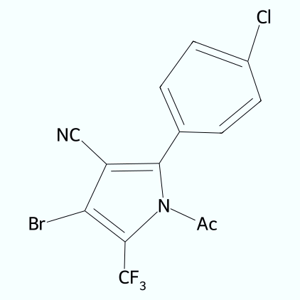 CC(=O)n1c(-c2ccc(Cl)cc2)c(C#N)c(Br)c1C(F)(F)F